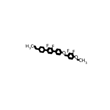 C/C=C/C1CCC(c2ccc(-c3ccc(OCc4ccc(OCC)c(F)c4F)cc3)c(F)c2F)CC1